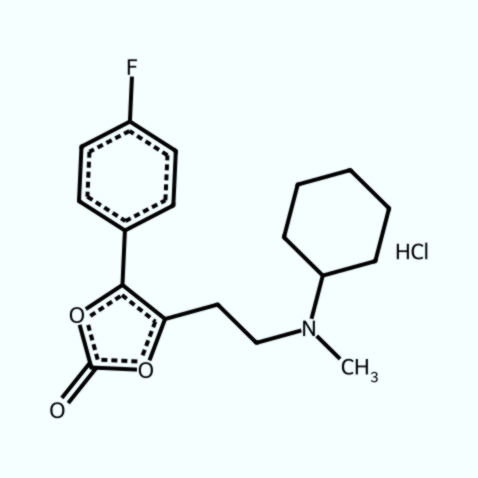 CN(CCc1oc(=O)oc1-c1ccc(F)cc1)C1CCCCC1.Cl